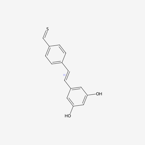 Oc1cc(O)cc(/C=C/c2ccc(C=S)cc2)c1